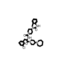 O=C(NC(Cc1cccc(Cl)c1)C(=O)N1CCC(N2CCCCCC2)CC1)N1CCC(N2Cc3ccccc3NC2=O)CC1